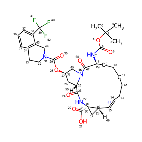 CC(C)(C)OC(=O)N[C@H]1CCCCC/C=C/[C@@H]2C[C@@]2(C(=O)O)NC(=O)[C@@H]2C[C@@H](OC(=O)N3CCc4cccc(C(F)(F)F)c4C3)CN2C1=O